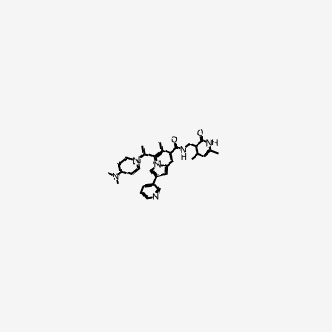 CC1=CC(C)C(CNC(=O)c2cc3cc(-c4cccnc4)cn3c(C(C)N3CCC(N(C)C)CC3)c2C)C(=O)N1